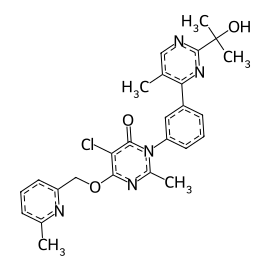 Cc1cccc(COc2nc(C)n(-c3cccc(-c4nc(C(C)(C)O)ncc4C)c3)c(=O)c2Cl)n1